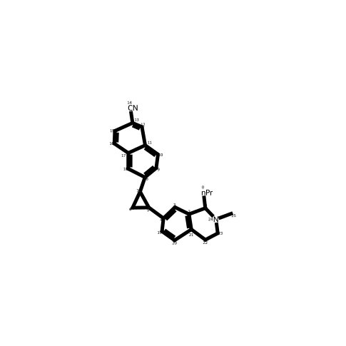 CCCC1c2cc(C3CC3c3ccc4cc(C#N)ccc4c3)ccc2CCN1C